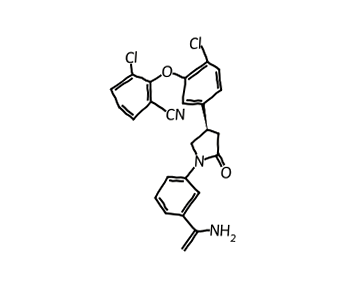 C=C(N)c1cccc(N2C[C@@H](c3ccc(Cl)c(Oc4c(Cl)cccc4C#N)c3)CC2=O)c1